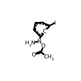 CC(=O)ON(N)c1cccc(I)c1